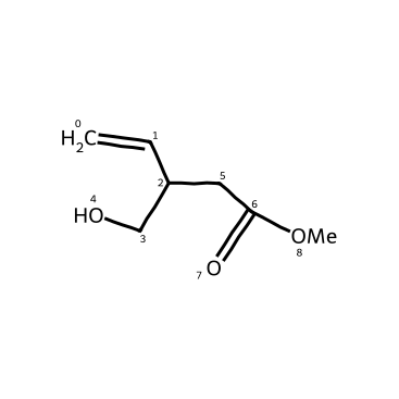 C=CC(CO)CC(=O)OC